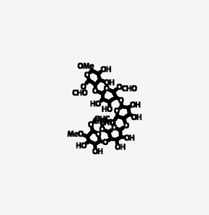 COC1OC(OC=O)C(OC2OC(OC=O)C(OC3OC(OC=O)C(OC4OC(OC=O)C(OC5OC(OC=O)C(OC)C(O)C5O)C(O)C4O)C(O)C3O)C(O)C2O)C(O)C1O